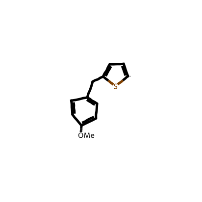 COc1ccc(Cc2cc[c]s2)cc1